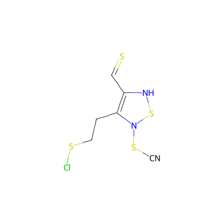 N#CSN1SNC(C=S)=C1CCSCl